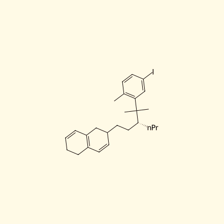 CCC[C@H](CCC1C=CC2=C(C=CCC2)C1)C(C)(C)c1cc(I)ccc1C